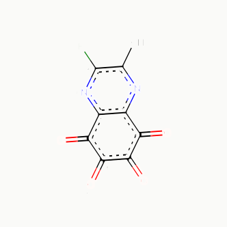 Cc1nc2c(=O)c(=O)c(=O)c(=O)c2nc1F